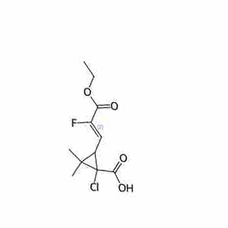 CCOC(=O)/C(F)=C/C1C(C)(C)C1(Cl)C(=O)O